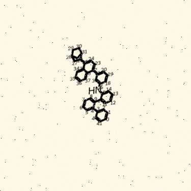 c1ccc(-c2ccccc2-c2ccccc2Nc2cccc(-c3ccc(C4CC5CCC4C5)c4ccccc34)c2)cc1